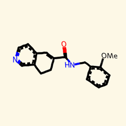 COc1ccccc1CNC(=O)C1=Cc2ccncc2CC1